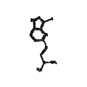 CN(C)C=Nc1ccc2[nH]cc(I)c2n1